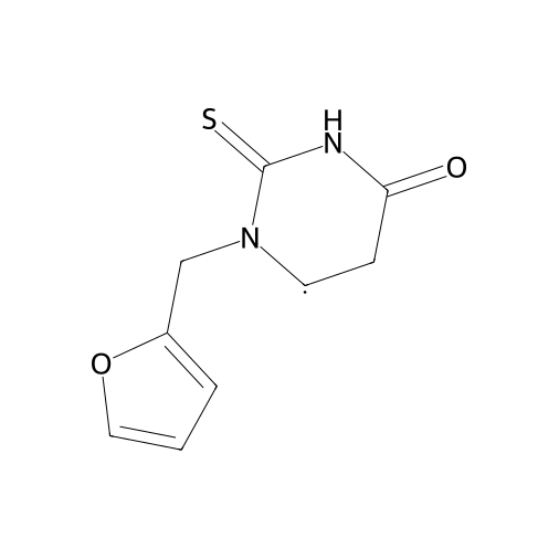 O=C1C[CH]N(Cc2ccco2)C(=S)N1